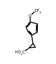 O=C(O)C1CC1c1ccc(OC(F)(F)F)cc1